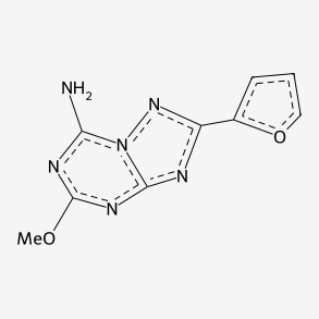 COc1nc(N)n2nc(-c3ccco3)nc2n1